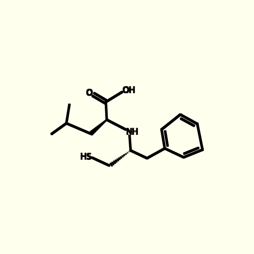 CC(C)C[C@H](N[C@@H](CS)Cc1ccccc1)C(=O)O